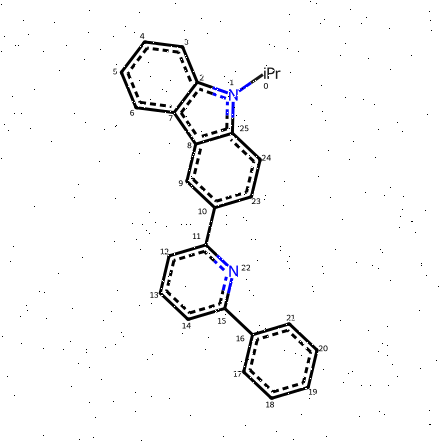 CC(C)n1c2ccccc2c2cc(-c3cccc(-c4ccccc4)n3)ccc21